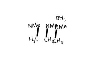 B.CNC.CNC.CNC